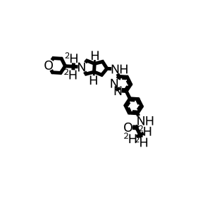 [2H]C([2H])([2H])C(=O)Nc1ccc(-c2ccc(NC3C[C@@H]4CN(C([2H])([2H])C5CCOCC5)C[C@@H]4C3)nn2)cc1